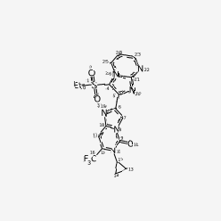 CCS(=O)(=O)c1c(-c2cn3c(=O)n(C4CC4)c(C(F)(F)F)cc3n2)nc2ncccn12